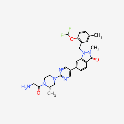 Cc1ccc(OC(F)F)c(Cn2c3cc(-c4cnc(N5CCN(C(=O)CN)[C@@H](C)C5)nc4)ccc3c(=O)n2C)c1